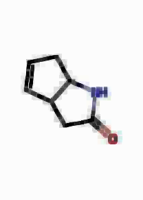 O=C1CC2C=CC[C]2N1